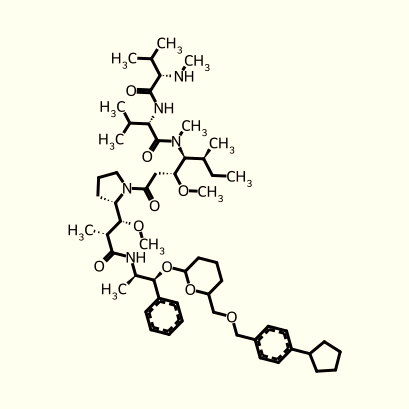 CC[C@H](C)[C@@H]([C@@H](CC(=O)N1CCC[C@H]1[C@H](OC)[C@@H](C)C(=O)N[C@H](C)[C@@H](OC1CCCC(COCc2ccc(C3CCCC3)cc2)O1)c1ccccc1)OC)N(C)C(=O)[C@@H](NC(=O)[C@@H](NC)C(C)C)C(C)C